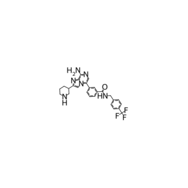 Nc1ncc(-c2cccc(C(=O)NCc3ccc(C(F)(F)F)cc3)c2)n2cc(C3CCCNC3)nc12